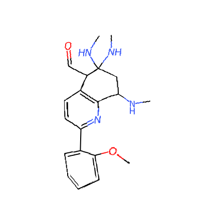 CNC1CC(NC)(NC)C(C=O)c2ccc(-c3ccccc3OC)nc21